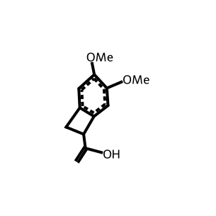 C=C(O)C1Cc2cc(OC)c(OC)cc21